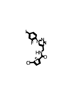 O=C(NCc1cn(-c2ccc(I)cc2F)nn1)c1ccc(Cl)s1